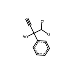 C#CC(O)(c1ccccc1)C(Cl)Cl